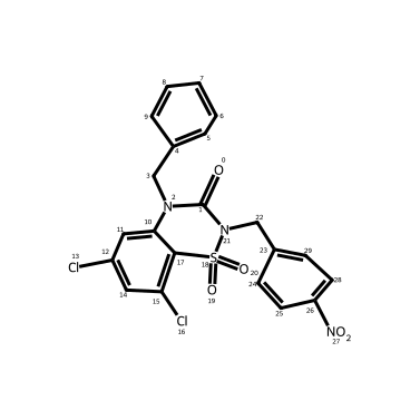 O=C1N(Cc2ccccc2)c2cc(Cl)cc(Cl)c2S(=O)(=O)N1Cc1ccc([N+](=O)[O-])cc1